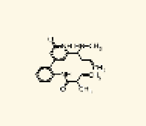 C=CCC(NC)c1cc(-c2ccccc2NC(=O)C(C)C=C)cc(=O)[nH]1